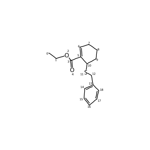 CCOC(=O)C1=CCCCC1SCc1ccccc1